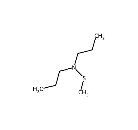 CCCN(CCC)SC